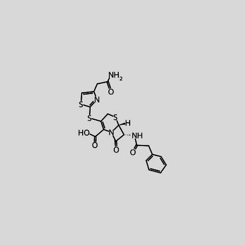 NC(=O)Cc1csc(SC2=C(C(=O)O)N3C(=O)[C@@H](NC(=O)Cc4ccccc4)[C@H]3SC2)n1